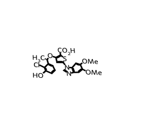 COc1cc2ncn(-c3cc(O[C@H](C)c4cccc(O)c4Cl)c(C(=O)O)s3)c2cc1OC